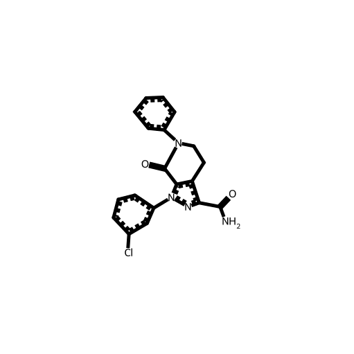 NC(=O)c1nn(-c2cccc(Cl)c2)c2c1CCN(c1ccccc1)C2=O